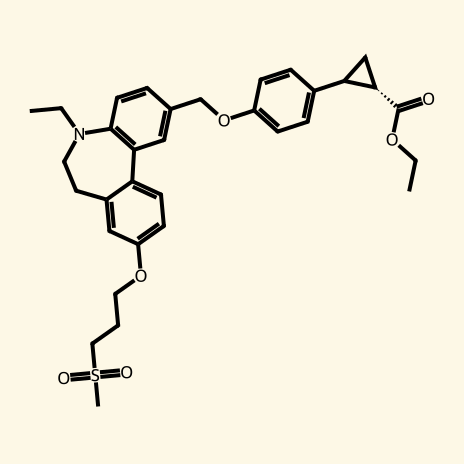 CCOC(=O)[C@H]1CC1c1ccc(OCc2ccc3c(c2)-c2ccc(OCCCS(C)(=O)=O)cc2CCN3CC)cc1